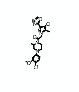 COc1cc(N2CCN(C(=O)Cn3nc(-c4nnco4)c(Cl)c3C)C(C)C2)ccc1Cl